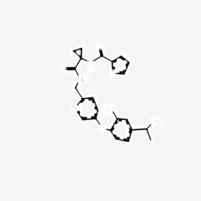 CC(O)c1ccc(Oc2ccc(CNC(=O)C3(NC(=O)c4ccco4)CC3)nc2)c(C(F)(F)F)c1